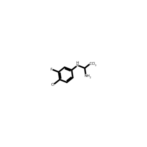 NC(Nc1ccc(Cl)c(F)c1)C(Cl)(Cl)Cl